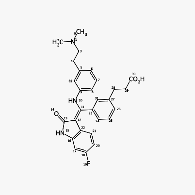 CN(C)CCc1cccc(N/C(=C2\C(=O)Nc3cc(F)ccc32)c2cccc(CCC(=O)O)c2)c1